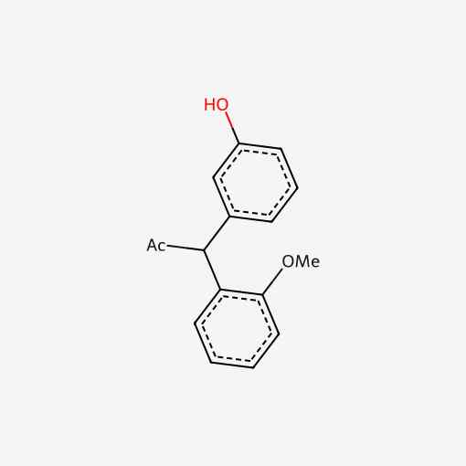 COc1ccccc1C(C(C)=O)c1cccc(O)c1